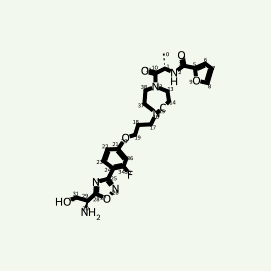 C[C@H](NC(=O)c1ccco1)C(=O)N1CCCN(CCCOc2ccc(-c3noc([C@@H](N)CO)n3)c(F)c2)CC1